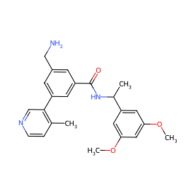 COc1cc(OC)cc(C(C)NC(=O)c2cc(CN)cc(-c3cnccc3C)c2)c1